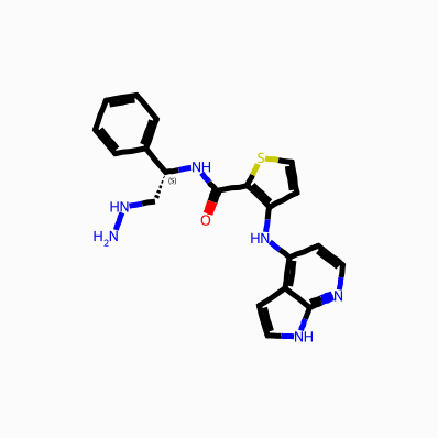 NNC[C@@H](NC(=O)c1sccc1Nc1ccnc2[nH]ccc12)c1ccccc1